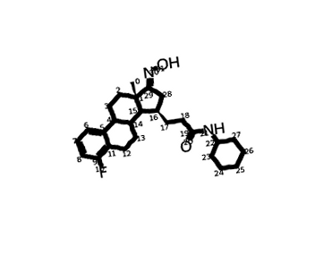 C[C@]12CCC3c4cccc(F)c4CCC3C1[C@H](CCC(=O)NC1CCCCC1)C/C2=N\O